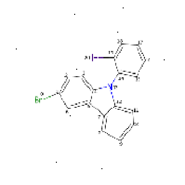 Brc1ccc2c(c1)c1ccccc1n2-c1ccccc1I